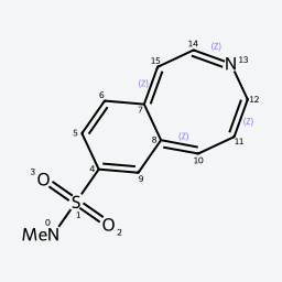 CNS(=O)(=O)c1ccc2/c(c1)=C\C=C/N=C\C=2